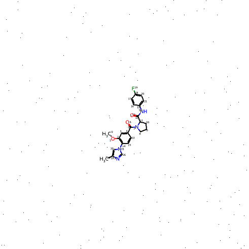 COc1cc(C(=O)N2CCCC2C(=O)Nc2ccc(F)cc2)ccc1-n1cnc(C)c1